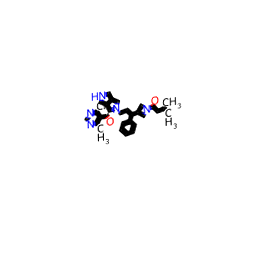 Cc1ncnc(C)c1C(=O)[C@@H]1C2CNCC2CN1CCC(c1ccccc1)C1CN(C(=O)CC(C)C)C1